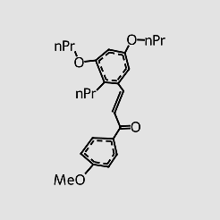 CCCOc1cc(C=CC(=O)c2ccc(OC)cc2)c(CCC)c(OCCC)c1